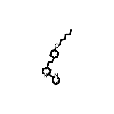 CCCCCCOc1ccc(C=Cc2ccnc(-c3ccccn3)c2)cc1